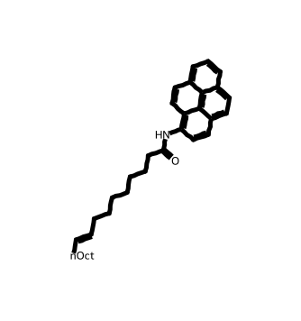 CCCCCCCCC=CCCCCCCCC(=O)Nc1ccc2ccc3cccc4ccc1c2c34